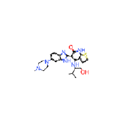 CC(C)C(CO)Nc1c(-c2nc3ccc(N4CCN(C)CC4)cc3[nH]2)c(=O)[nH]c2sccc12